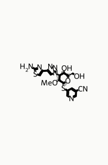 CO[C@@H]1[C@@H](n2cc(-c3csc(N)n3)nn2)[C@@H](O)[C@@H](CO)O[C@@H]1Sc1cncc(C#N)c1